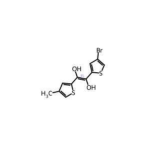 Cc1csc(/C(O)=C(\O)c2cc(Br)cs2)c1